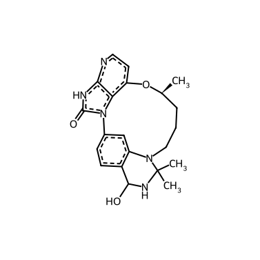 C[C@H]1CCCN2c3cc(ccc3C(O)NC2(C)C)-n2c(=O)[nH]c3nccc(c32)O1